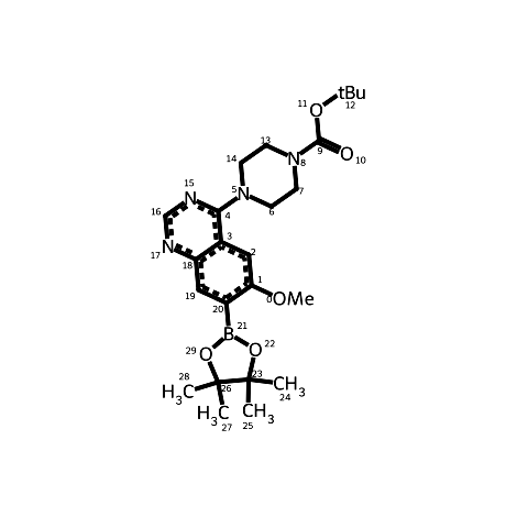 COc1cc2c(N3CCN(C(=O)OC(C)(C)C)CC3)ncnc2cc1B1OC(C)(C)C(C)(C)O1